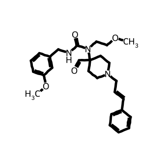 COCCN(C(=O)NCc1cccc(OC)c1)C1(C=O)CCN(C/C=C/c2ccccc2)CC1